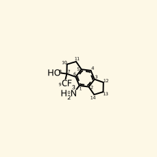 Nc1c2c(cc3c1C(O)(C(F)(F)F)CC3)CCC2